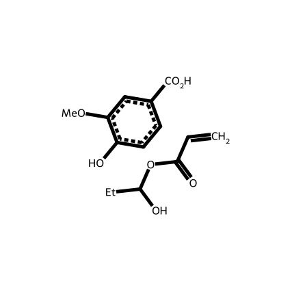 C=CC(=O)OC(O)CC.COc1cc(C(=O)O)ccc1O